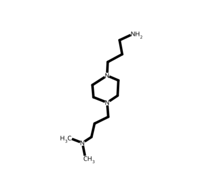 CN(C)CCCN1CCN(CCCN)CC1